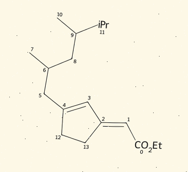 CCOC(=O)/C=C1/C=C(CC(C)CC(C)C(C)C)CC1